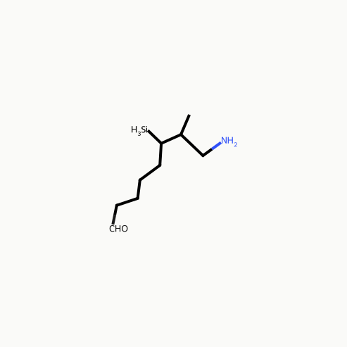 CC(CN)C([SiH3])CCCCC=O